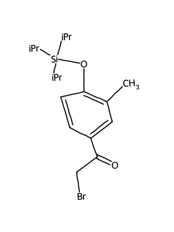 Cc1cc(C(=O)CBr)ccc1O[Si](C(C)C)(C(C)C)C(C)C